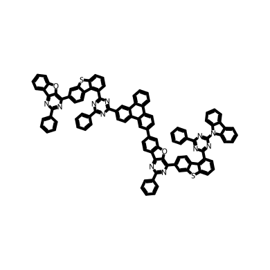 c1ccc(-c2nc(-c3ccc4c5cc(-c6ccc7c(c6)oc6c(-c8ccc9c(c8)sc8cccc(-c%10nc(-c%11ccccc%11)nc(-n%11c%12ccccc%12c%12ccccc%12%11)n%10)c89)nc(-c8ccccc8)nc67)ccc5c5ccccc5c4c3)nc(-c3cccc4sc5cc(-c6nc(-c7ccccc7)nc7c6oc6ccccc67)ccc5c34)n2)cc1